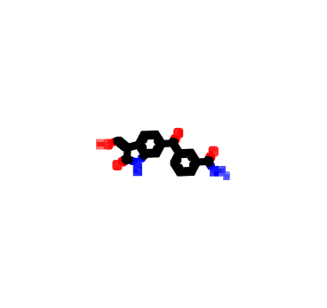 NC(=O)c1cccc(C(=O)c2ccc3c(c2)NC(=O)C3=CO)c1